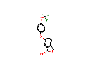 OB1OCc2ccc(Oc3ccc(OC(F)(F)F)cc3)cc21